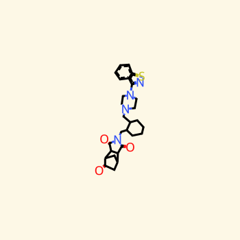 O=C1CC2CC1C1C(=O)N(CC3CCCCC3CN3CCN(c4nsc5ccccc45)CC3)C(=O)C21